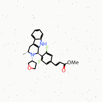 COC(=O)/C=C/c1cc(F)c([C@@H]2c3[nH]c4ccccc4c3C[C@@H](C)N2[C@@H]2CCOC2)c(F)c1